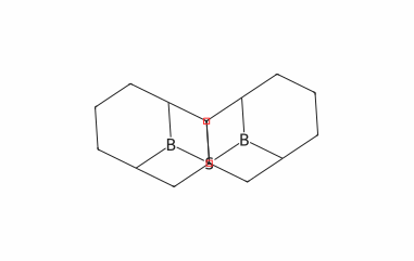 C1CC2CCCC(C1)B2SB1C2CCCC1CCC2